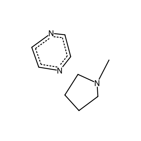 CN1CCCC1.c1cnccn1